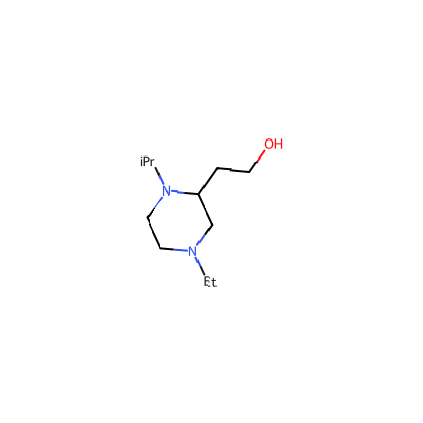 CCN1CCN(C(C)C)C(CCO)C1